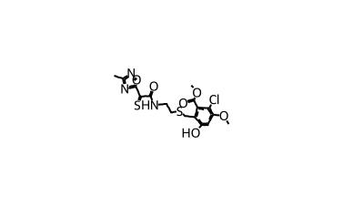 COC(=O)c1c(Cl)c(OC)cc(O)c1CSCCNC(=O)C(=S)c1nc(C)no1